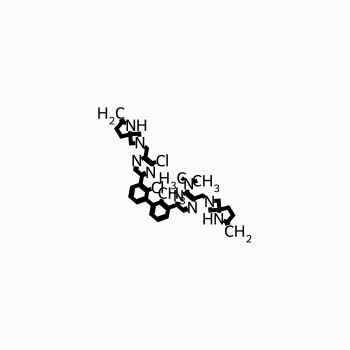 C=C1CCC2(CN(Cc3ncc(-c4cccc(-c5cccc(-c6cnc(CN7CC8(CCC(=C)N8)C7)c(N(C)C)n6)c5C)c4Cl)nc3Cl)C2)N1